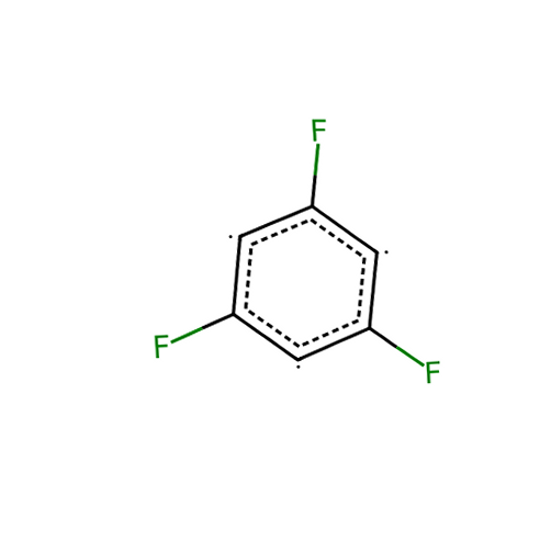 Fc1[c]c(F)[c]c(F)[c]1